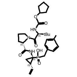 C=C[C@@H]1C[C@]1(NC(=O)[C@@H]1CCCN1C(=O)[C@@H](NC(=O)OC1CCCC1)C(C)(C)C)P(=O)(O)Cc1ccc(C)cc1